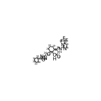 O=C(O)C1CN(c2nccc(C(F)(F)F)n2)C[C@H]1c1cccc(OCc2noc(-c3ccccc3)n2)c1